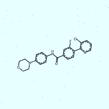 O=C(Nc1ccc(N2CCOCC2)cc1)c1ccc(-c2ncccc2Cl)c(F)c1